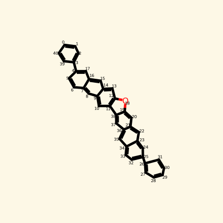 c1ccc(-c2ccc3cc4cc5c(cc4cc3c2)oc2cc3cc4cc(-c6ccccc6)ccc4cc3cc25)cc1